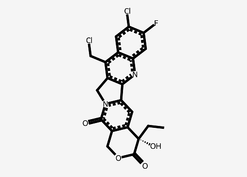 CC[C@@]1(O)C(=O)OCc2c1cc1n(c2=O)Cc2c-1nc1cc(F)c(Cl)cc1c2CCl